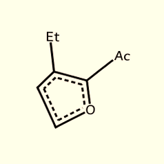 CCc1ccoc1C(C)=O